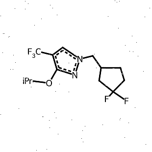 CC(C)Oc1nn(CC2CCC(F)(F)C2)cc1C(F)(F)F